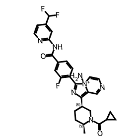 C[C@H]1CC[C@@H](C2=C3C=NC=C[N+]3(N)C(c3ccc(C(=O)Nc4cc(C(F)F)ccn4)cc3F)=N2)CN1C(=O)C1CC1